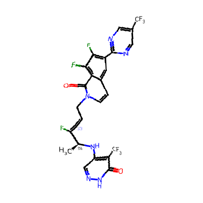 C[C@H](Nc1cn[nH]c(=O)c1C(F)(F)F)/C(F)=C/Cn1ccc2cc(-c3ncc(C(F)(F)F)cn3)c(F)c(F)c2c1=O